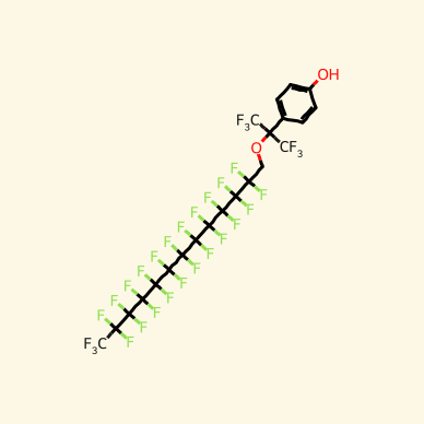 Oc1ccc(C(OCC(F)(F)C(F)(F)C(F)(F)C(F)(F)C(F)(F)C(F)(F)C(F)(F)C(F)(F)C(F)(F)C(F)(F)C(F)(F)C(F)(F)F)(C(F)(F)F)C(F)(F)F)cc1